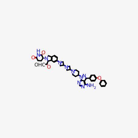 Nc1ncnc2c1c(-c1ccc(Oc3ccccc3)cc1)nn2C1CCN(C2CN(C3CN(c4ccc5c(c4)C(C(=O)C=O)N([C@H]4CCC(=O)NC4=O)C5)C3)C2)CC1